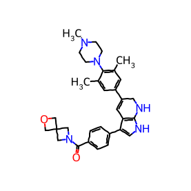 Cc1cc(C2=Cc3c(-c4ccc(C(=O)N5CC6(COC6)C5)cc4)c[nH]c3NC2)cc(C)c1N1CCN(C)CC1